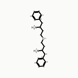 NC(CCOCCC(N)Cc1ccccc1)Cc1ccccc1